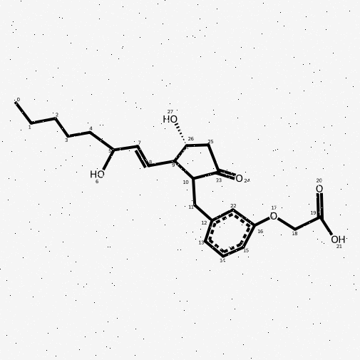 CCCCCC(O)/C=C/C1C(Cc2cccc(OCC(=O)O)c2)C(=O)C[C@H]1O